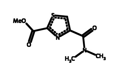 COC(=O)c1nc(C(=O)N(C)C)cs1